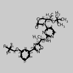 C[C@H](Nc1nccc(N2C(=O)OCC2[C@@H](C)OC(C)(C)C)n1)c1nc(-c2cccc(OCC(F)(F)F)c2)no1